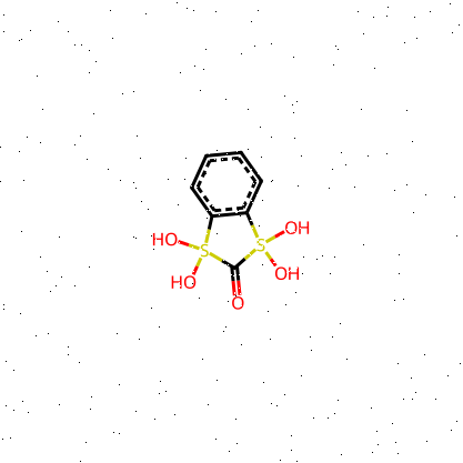 O=C1S(O)(O)c2ccccc2S1(O)O